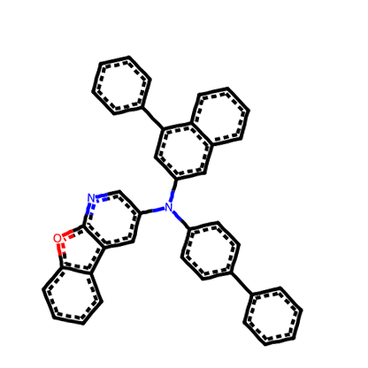 c1ccc(-c2ccc(N(c3cc(-c4ccccc4)c4ccccc4c3)c3cnc4oc5ccccc5c4c3)cc2)cc1